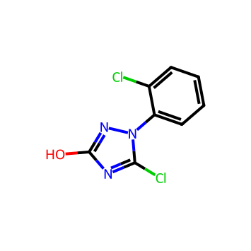 Oc1nc(Cl)n(-c2ccccc2Cl)n1